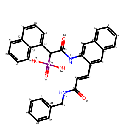 O=C(C=Cc1cc2ccccc2cc1NC(=O)C(c1cccc2ccccc12)P(=O)(O)O)NCc1ccccc1